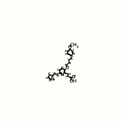 COc1ccc(CCCCOc2ccc(SCc3nccs3)nc2CCC(=O)O)cc1